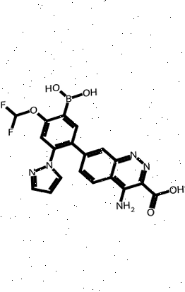 Nc1c(C(=O)O)nnc2cc(-c3cc(B(O)O)c(OC(F)F)cc3-n3cccn3)ccc12